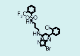 O=S(=O)(NCCCNc1cc(-c2ccccc2Cl)nc2c(Br)cnn12)c1ccccc1C(F)(F)F